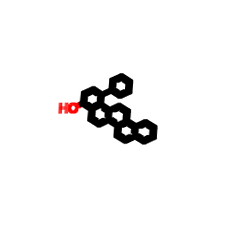 Oc1ccc(-c2ccccc2)c2c1ccc1c3ccc4ccccc4c3ccc12